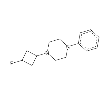 FC1CC(N2CCN(c3ccccc3)CC2)C1